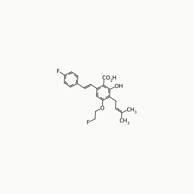 CC(C)=CCc1c(OCCF)cc(/C=C/c2ccc(F)cc2)c(C(=O)O)c1O